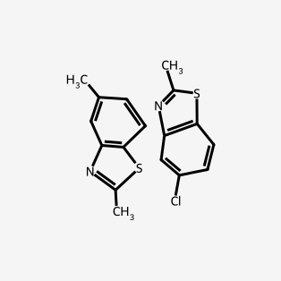 Cc1ccc2sc(C)nc2c1.Cc1nc2cc(Cl)ccc2s1